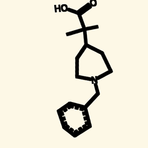 CC(C)(C(=O)O)C1CCN(Cc2ccccc2)CC1